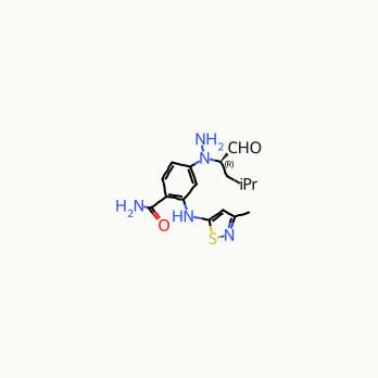 Cc1cc(Nc2cc(N(N)[C@@H](C=O)CC(C)C)ccc2C(N)=O)sn1